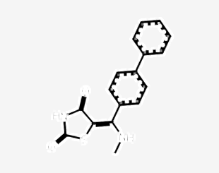 CNC(=C1SC(=O)NC1=O)c1ccc(-c2ccccc2)cc1